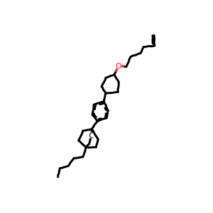 C=CCCCCOC1CCC(c2ccc(C34CCC(CCCCC)(CC3)CC4)cc2)CC1